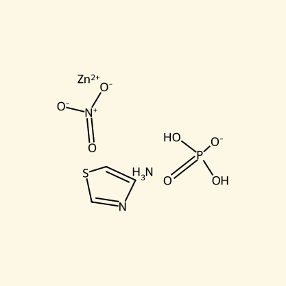 N.O=P([O-])(O)O.O=[N+]([O-])[O-].[Zn+2].c1cscn1